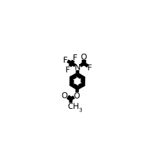 CC(=O)Oc1ccc(N(C(=O)F)C(F)(F)F)cc1